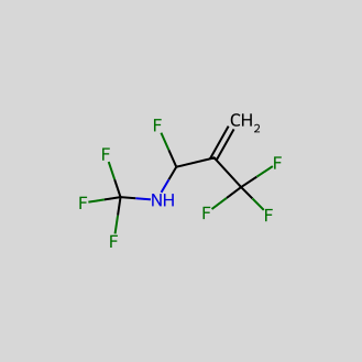 C=C(C(F)NC(F)(F)F)C(F)(F)F